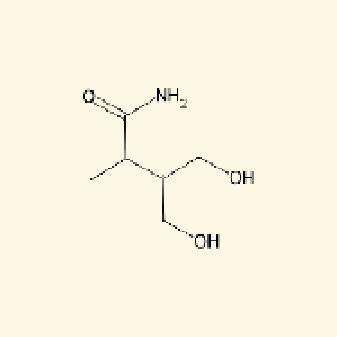 CC([C](CO)CO)C(N)=O